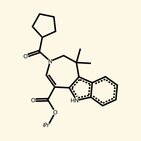 CC(C)OC(=O)C1=CN(C(=O)C2CCCC2)CC(C)(C)c2c1[nH]c1ccccc21